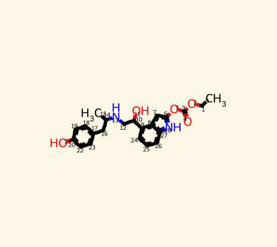 CCOC(=O)Oc1cc2c(C(O)CNC(C)Cc3ccc(O)cc3)cccc2[nH]1